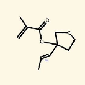 C=C(C)C(=O)OC1(/C=C/C)CCOC1